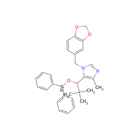 Cc1ncn(Cc2ccc3c(c2)OCO3)c1C(O[SiH](c1ccccc1)c1ccccc1)C(C)(C)C